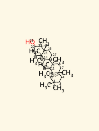 CC1(C)CCC2(C)CC[C@]3(C)C(=CC[C@]4(C)C5(C)CCC(O)[C@@]6(C)C[C@@]56CCC43C)C2(C)C1